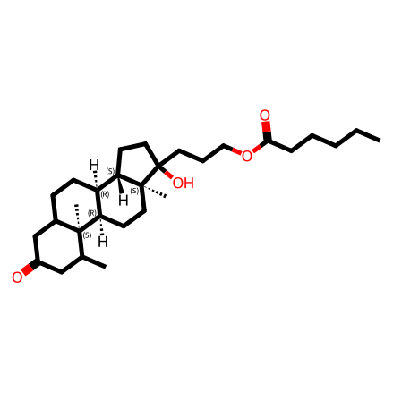 CCCCCC(=O)OCCCC1(O)CC[C@H]2[C@@H]3CCC4CC(=O)CC(C)[C@]4(C)[C@@H]3CC[C@@]21C